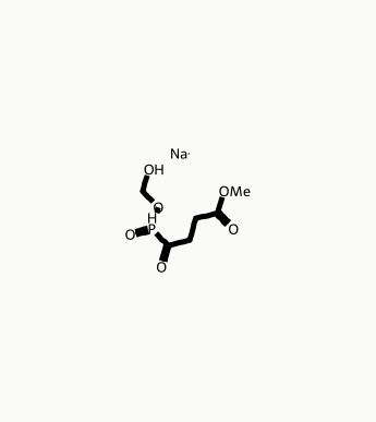 COC(=O)CCC(=O)[PH](=O)OCO.[Na]